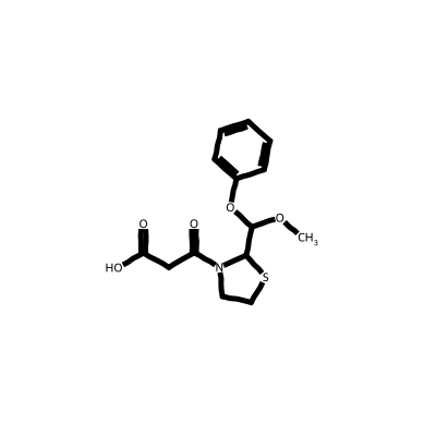 COC(Oc1ccccc1)C1SCCN1C(=O)CC(=O)O